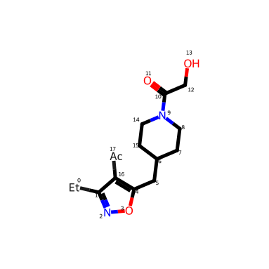 CCc1noc(CC2CCN(C(=O)CO)CC2)c1C(C)=O